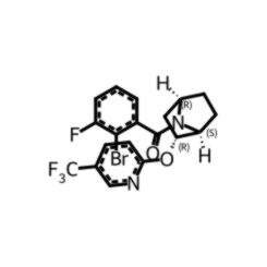 O=C(c1cccc(F)c1Br)N1[C@@H]2CC[C@H]1[C@H](Oc1ccc(C(F)(F)F)cn1)C2